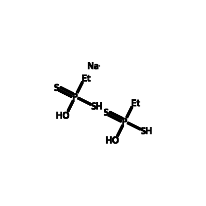 CCP(O)(=S)S.CCP(O)(=S)S.[Na]